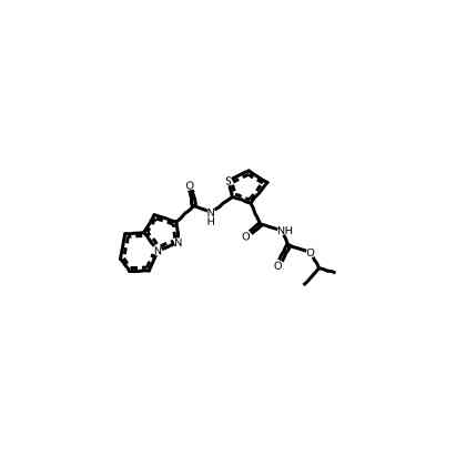 CC(C)OC(=O)NC(=O)c1ccsc1NC(=O)c1cc2ccccn2n1